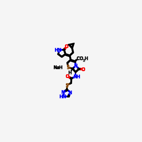 O=C(CSc1nc[nH]n1)N[C@@H]1C(=O)N2C(C(=O)O)=C(C(CC3CC3)=C3CCNC3=O)CS[C@H]12.[NaH]